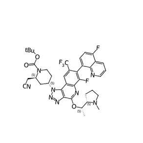 C[C@H](Oc1nc2c(F)c(-c3ccc(F)c4cccnc34)c(C(F)(F)F)cc2c2c1nnn2[C@H]1CCN(C(=O)OC(C)(C)C)[C@H](CC#N)C1)[C@@H]1CCCN1C